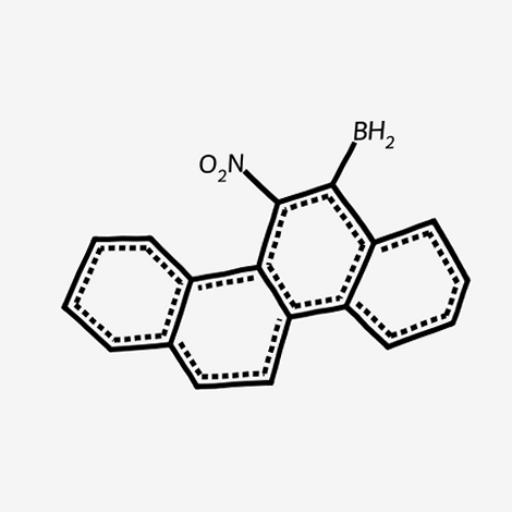 Bc1c([N+](=O)[O-])c2c3ccccc3ccc2c2ccccc12